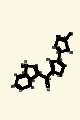 Cc1nnc(-c2csc(C(=O)c3c[nH]c4ccccc34)n2)o1